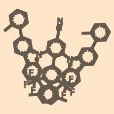 Cc1ccccc1-c1ccc2c3ccc(-c4ccccc4C)cc3n(-c3cc(C#N)cc(-n4c5cc(-c6ccccc6C)ccc5c5ccc(-c6ccccc6C)cc54)c3-c3cc(C(F)(F)F)cc(C(F)(F)F)c3)c2c1